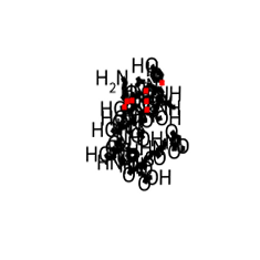 CC[C@H](C)[C@H](NC(=O)[C@H](CO)NC(=O)[C@H](Cc1ccc(O)cc1)NC(=O)[C@H](CC(=O)O)NC(=O)[C@H](CO)NC(=O)[C@@H](NC(=O)[C@H](Cc1ccccc1)NC(=O)[C@@H](NC(=O)CNC(=O)[C@H](CCC(=O)O)NC(=O)CSCC(=O)NCCN1C(=O)C[C@H](OC)C1=O)[C@@H](C)O)[C@@H](C)O)C(=O)N[C@@H](Cc1ccc(O)cc1)C(=O)N[C@@H](CC(C)C)C(=O)N[C@@H](CC(=O)O)C(=O)N[C@H](C)CCCCN